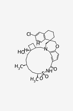 C[C@@H]1CC[C@H](C)S(=O)(=O)NC(=O)c2ccc3c(c2)N(C[C@@H]2CC[C@H]2[C@@H](O)C1)C[C@@]1(CCCc2cc(Cl)ccc21)CO3